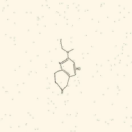 CCN(C)c1ccc2c(n1)CCNC2.Cl